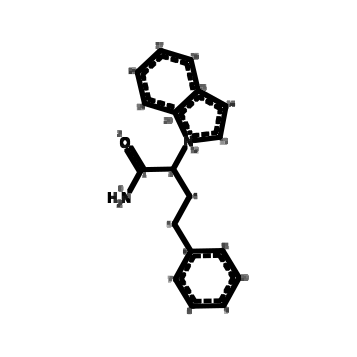 NC(=O)C(CCc1ccccc1)n1ccc2ccccc21